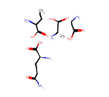 CCC(N)C(=O)O.C[C@H](N)C(=O)O.NC(=O)CC[C@H](N)C(=O)O.NCC(=O)O